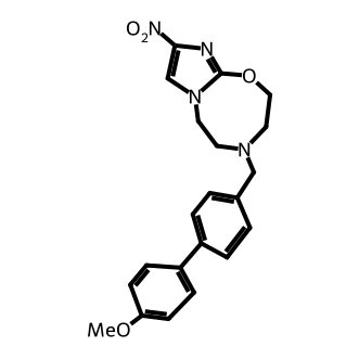 COc1ccc(-c2ccc(CN3CCOc4nc([N+](=O)[O-])cn4CC3)cc2)cc1